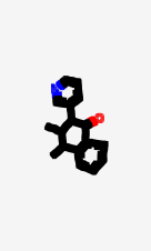 CC1c2ccccc2C(=O)C(c2cccnc2)C1C